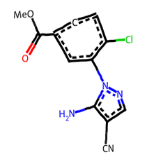 COC(=O)c1ccc(Cl)c(-n2ncc(C#N)c2N)c1